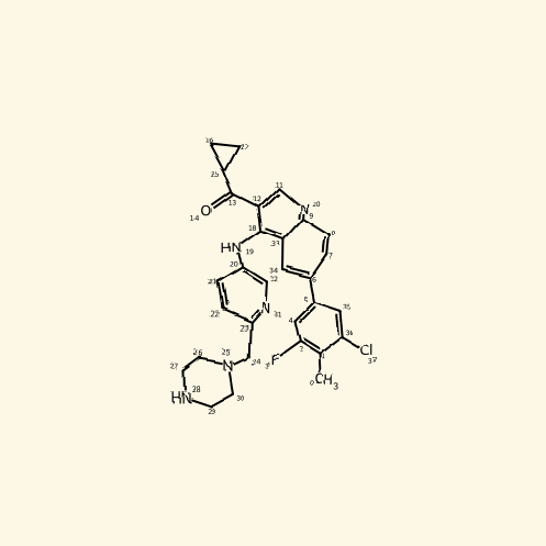 Cc1c(F)cc(-c2ccc3ncc(C(=O)C4CC4)c(Nc4ccc(CN5CCNCC5)nc4)c3c2)cc1Cl